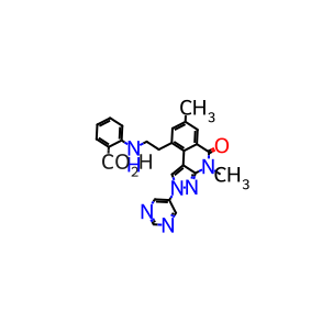 Cc1cc(CCNc2ccccc2C(=O)O)c2c(c1)c(=O)n(C)c1nn(-c3cncnc3)cc21